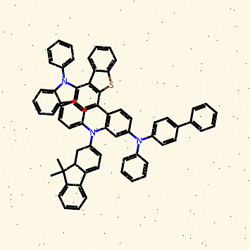 CC1(C)c2ccccc2C2=CC=C(N(c3ccccc3)c3cc(N(c4ccccc4)c4ccc(-c5ccccc5)cc4)ccc3-c3cc4c5ccccc5n(-c5ccccc5)c4c4c3sc3ccccc34)CC21